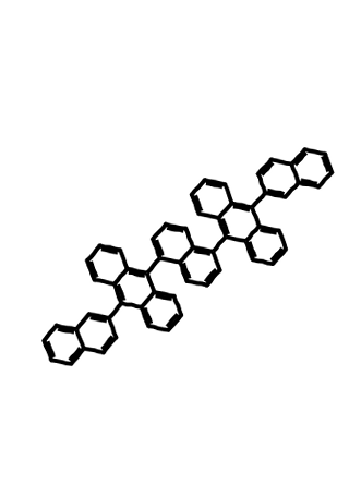 c1ccc2cc(-c3c4ccccc4c(-c4cccc5c(-c6c7ccccc7c(-c7ccc8ccccc8c7)c7ccccc67)cccc45)c4ccccc34)ccc2c1